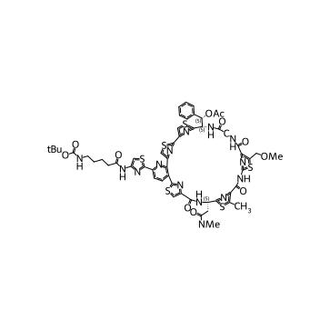 CNC(=O)C[C@@H]1NC(=O)c2csc(n2)-c2ccc(-c3nc(NC(=O)CCCCNC(=O)OC(C)(C)C)cs3)nc2-c2csc(n2)-c2csc(n2)[C@H]([C@@H](OC(C)=O)c2ccccc2)NC(=O)CNC(=O)c2nc(sc2COC)NC(=O)c2nc1sc2C